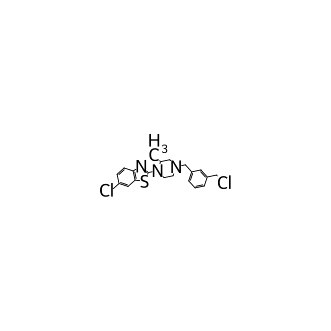 CC1CN(Cc2cccc(CCl)c2)CCN1c1nc2ccc(Cl)cc2s1